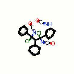 N=C=O.O=C=NC(Cl)(c1ccccc1)C(c1ccccc1)C(Cl)(N=C=O)c1ccccc1